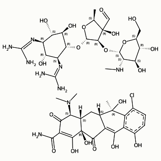 CN(C)[C@@H]1C(=O)C(C(N)=O)=C(O)[C@@]2(O)C(=O)C3=C(O)c4c(O)ccc(Cl)c4[C@](C)(O)[C@H]3C[C@@H]12.CN[C@@H]1[C@H](O[C@H]2[C@H](O[C@H]3[C@H](O)[C@@H](O)[C@H](N=C(N)N)[C@@H](O)[C@@H]3N=C(N)N)O[C@@H](C)[C@]2(O)C=O)O[C@@H](CO)[C@H](O)[C@H]1O